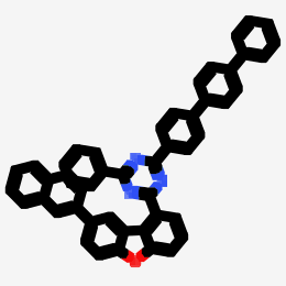 c1ccc(-c2ccc(-c3ccc(-c4nc(-c5ccccc5)nc(-c5cccc6oc7ccc(-c8ccc9ccccc9c8)cc7c56)n4)cc3)cc2)cc1